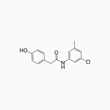 Cc1cc(Cl)cc(NC(=O)Cc2ccc(O)cc2)c1